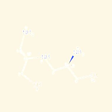 NC[C@@H](CS)NC[C@@H](N)CS